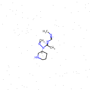 C=NN(/C(C)=N/C=N\C)[C@@H]1CCCNC1